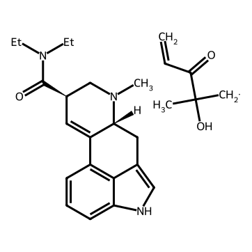 CCN(CC)C(=O)[C@@H]1C=C2c3cccc4[nH]cc(c34)C[C@H]2N(C)C1.[CH2]C(C)(O)C(=O)C=C